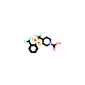 O=C(O)N1CCC(C(F)(F)S(=O)(=O)c2ccccc2C(F)F)CC1